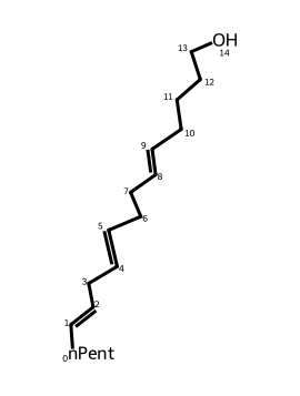 CCCCCC=CCC=CCCC=CCCCCO